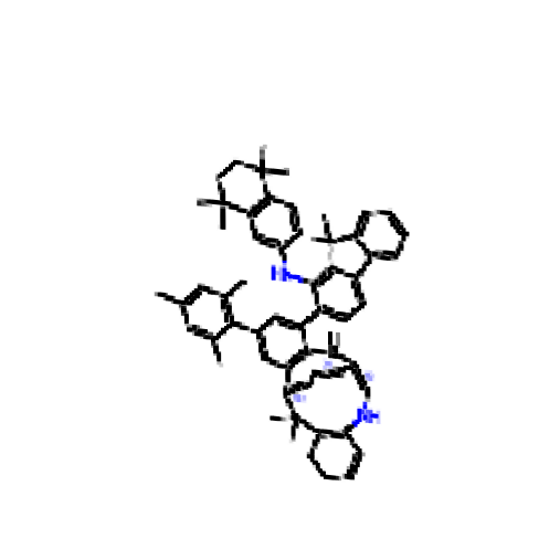 Cc1cc(C)c(-c2cc3c(c(-c4ccc5c(c4Nc4ccc6c(c4)C(C)(C)CCC6(C)C)C(C)(C)c4ccccc4-5)c2)BC2=C\NC4=C(CCC=C4)C(C)(C)/C3=C/C=C\2)c(C)c1